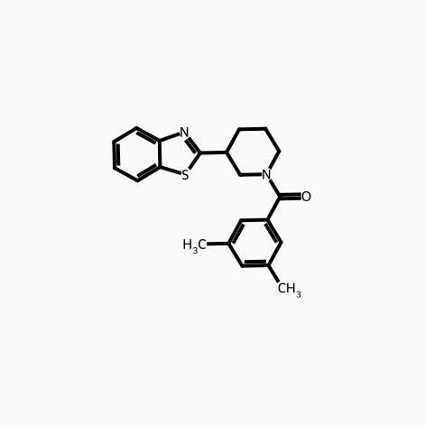 Cc1cc(C)cc(C(=O)N2CCCC(c3nc4ccccc4s3)C2)c1